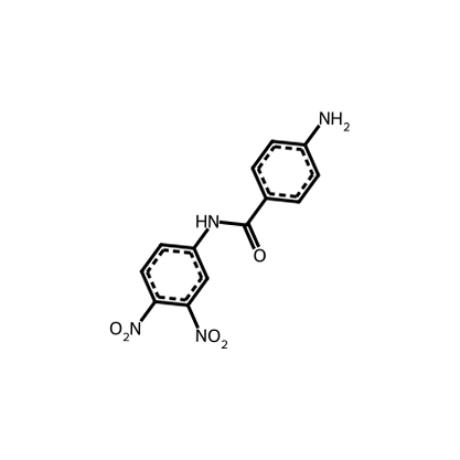 Nc1ccc(C(=O)Nc2ccc([N+](=O)[O-])c([N+](=O)[O-])c2)cc1